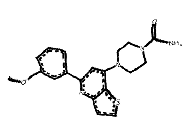 COc1cccc(-c2cc(N3CCN(C(N)=O)CC3)c3sccc3n2)c1